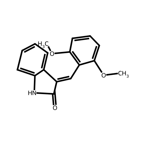 COc1cccc(OC)c1C=C1C(=O)Nc2ccccc21